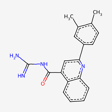 Cc1ccc(-c2cc(C(=O)NC(=N)N)c3ccccc3n2)cc1C